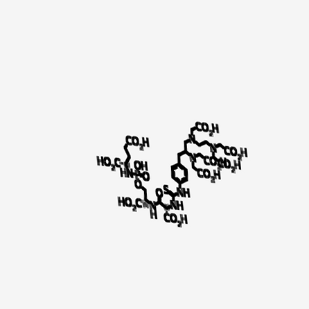 O=C(O)CC[C@H](NP(=O)(O)OC[C@H](NC(=O)[C@H](NC(=S)Nc1ccc(CC(CN(CCN(CC(=O)O)CC(=O)O)CC(=O)O)N(CC(=O)O)CC(=O)O)cc1)C(=O)O)C(=O)O)C(=O)O